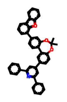 CC1(C)Oc2cc(-c3cccc4c3oc3ccccc34)ccc2-c2cc(-c3cc(-c4ccccc4)nc(-c4ccccc4)c3)ccc2O1